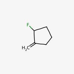 C=C1CCCC1F